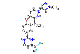 CC(c1cccc(-c2nccc(C(F)F)n2)c1)c1nn(-c2cnn(C)c2)ccc1=O